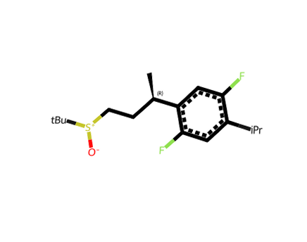 CC(C)c1cc(F)c([C@H](C)CC[S+]([O-])C(C)(C)C)cc1F